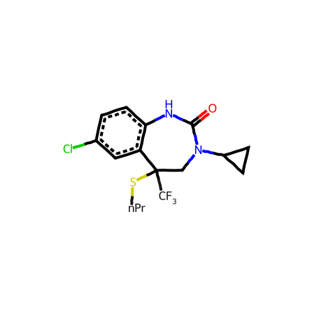 CCCSC1(C(F)(F)F)CN(C2CC2)C(=O)Nc2ccc(Cl)cc21